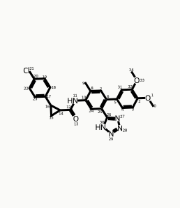 COc1ccc(-c2cc(C)c(NC(=O)C3CC3c3ccc(Cl)cc3)cc2-c2nnn[nH]2)cc1OC